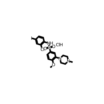 COc1ccc(S(=O)(=O)Nc2ccc(I)cc2Cl)cc1N1CCN(C)CC1.Cl